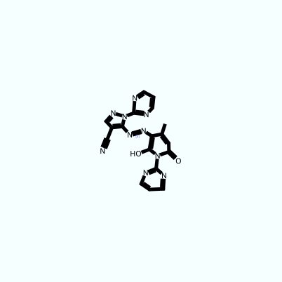 Cc1cc(=O)n(-c2ncccn2)c(O)c1/N=N/c1c(C#N)cnn1-c1ncccn1